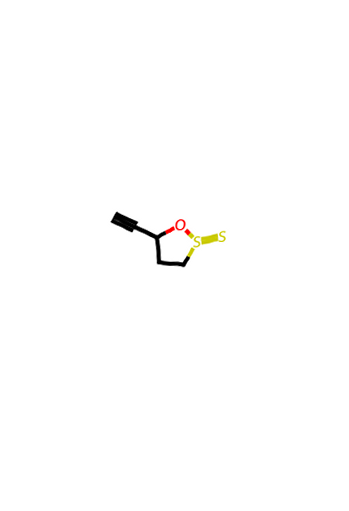 C#CC1CCS(=S)O1